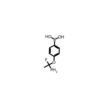 CC(F)(P)Oc1ccc(B(O)O)cc1